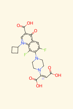 O=C(O)/C=C(/C(=O)O)N1CCN(c2c(F)cc3c(=O)c(C(=O)O)cn(C4CCC4)c3c2F)CC1